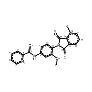 COc1cc(NC(=O)c2ccccn2)ccc1N1C(=O)c2cccc(C)c2C1=O